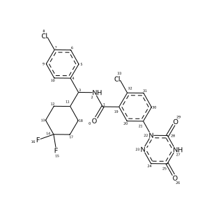 O=C(NC(c1ccc(Cl)cc1)C1CCC(F)(F)CC1)c1cc(-n2ncc(=O)[nH]c2=O)ccc1Cl